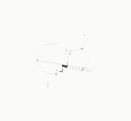 O=C1CC[C@@]23C(=O)CC[C@@H]2CCCCN13